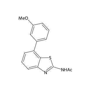 COc1cccc(-c2cccc3nc(NC(C)=O)sc23)c1